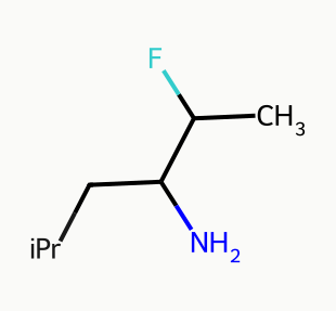 CC(C)CC(N)C(C)F